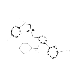 CC[C@@H](C1CCCCO1)n1c(NS(=O)(=O)[C@@H](C)[C@H](OC)c2ncc(C)cn2)nnc1-c1cccc(OC)n1